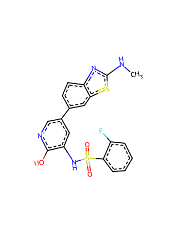 CNc1nc2ccc(-c3cnc(O)c(NS(=O)(=O)c4ccccc4F)c3)cc2s1